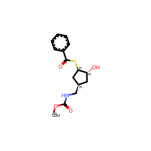 CC(C)(C)OC(=O)NC[C@@H]1C[C@@H](O)[C@H](SC(=O)c2ccccc2)C1